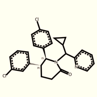 O=C1CC[C@H](c2cccc(Cl)c2)[C@@H](c2ccc(Cl)cc2)N1C(c1ccccn1)C1CC1